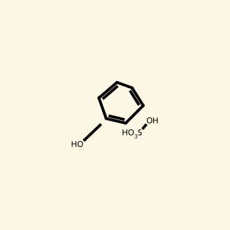 CO.O=S(=O)(O)O.c1ccccc1